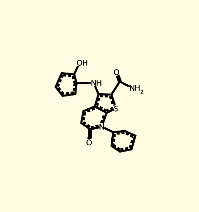 NC(=O)c1sc2c(ccc(=O)n2-c2ccccc2)c1Nc1ccccc1O